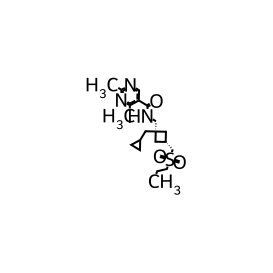 CCCS(=O)(=O)C[C@H]1C[C@](CNC(=O)c2cnc(C)nc2C)(CC2CC2)C1